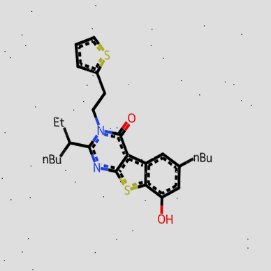 CCCCc1cc(O)c2sc3nc(C(CC)CCCC)n(CCc4cccs4)c(=O)c3c2c1